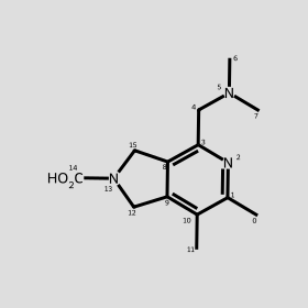 Cc1nc(CN(C)C)c2c(c1C)CN(C(=O)O)C2